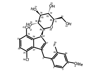 COc1ccc(Cc2cn([C@@H]3O[C@H](CO)[C@@H](O)[C@H](O)[C@H]3O)c3c(C)ccc(Cl)c23)c(F)c1